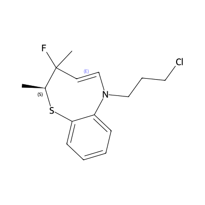 C[C@@H]1Sc2ccccc2N(CCCCl)/C=C/C1(C)F